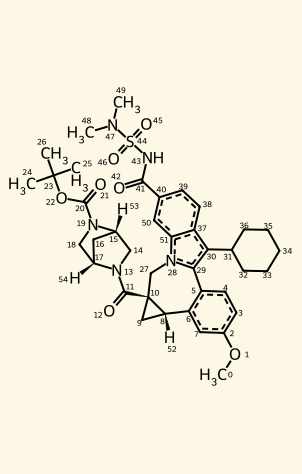 COc1ccc2c(c1)[C@@H]1C[C@]1(C(=O)N1C[C@@H]3C[C@H]1CN3C(=O)OC(C)(C)C)Cn1c-2c(C2CCCCC2)c2ccc(C(=O)NS(=O)(=O)N(C)C)cc21